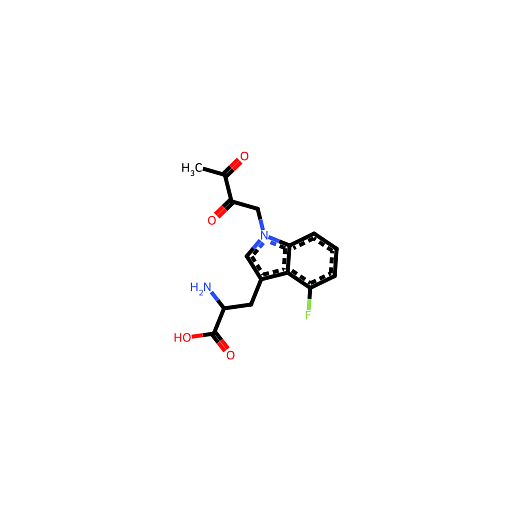 CC(=O)C(=O)Cn1cc(CC(N)C(=O)O)c2c(F)cccc21